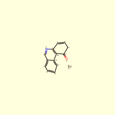 O=C1CC=Cc2ncc3ccccc3c21.[Eu]